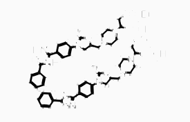 CCOC(=O)CC(C(=O)O)N1CCN(CC2CN(c3ccc(C(=N)NC(=O)c4ccccc4)cc3)C(=O)O2)CC1.CCOC(=O)CC(C(=O)O)N1CCN(CC2CN(c3ccc(C4=NOC(c5ccccc5)N4)cc3)C(=O)O2)CC1